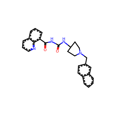 O=C(NC(=O)c1cccc2cccnc12)NC1CCN(Cc2ccc3ccccc3c2)CC1